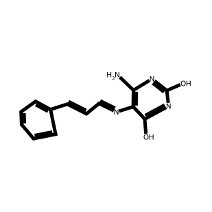 Nc1nc(O)nc(O)c1/N=C/C=C/c1ccccc1